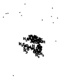 CC(C)OC(=O)CCNC(=O)[C@@H]1OP(=O)(OC[C@H]2O[C@@](C#N)(c3ccc4n3NCN=C4N)C(F)(Br)[C@H]2O)OCC1(C)C